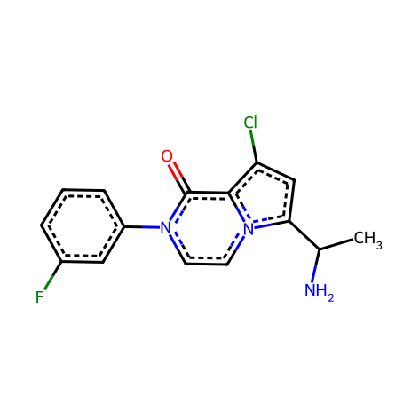 CC(N)c1cc(Cl)c2c(=O)n(-c3cccc(F)c3)ccn12